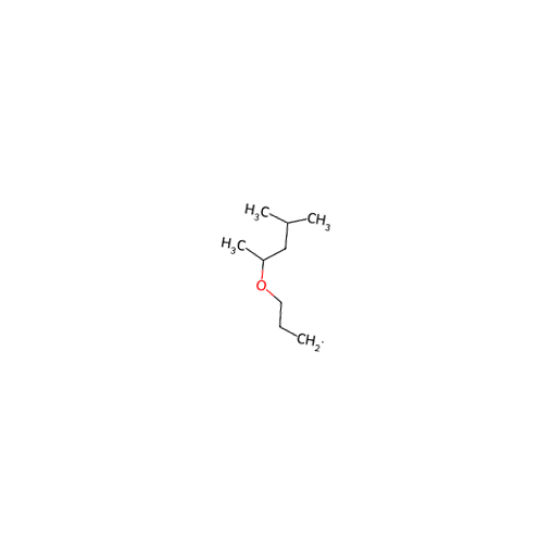 [CH2]CCOC(C)CC(C)C